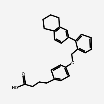 O=C(O)CCCc1ccc(OCc2ccccc2-c2ccc3c(c2)CCCC3)cc1